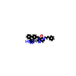 CCCCc1nc2ccn(C/C=C/c3ccccc3)c(=O)c2n1Cc1ccc(-c2ccccc2-c2nnn[nH]2)cc1